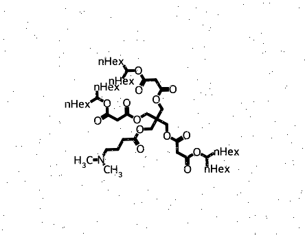 CCCCCCC(CCCCCC)OC(=O)CC(=O)OCC(COC(=O)CCCN(C)C)(COC(=O)CC(=O)OC(CCCCCC)CCCCCC)COC(=O)CC(=O)OC(CCCCCC)CCCCCC